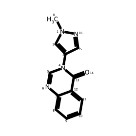 Cn1cc(-n2cnc3ccccc3c2=O)cn1